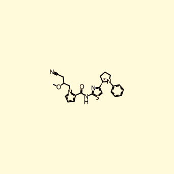 COC(CC#N)Cn1cccc1C(=O)Nc1nc([C@H]2CCCN2c2ccccc2)cs1